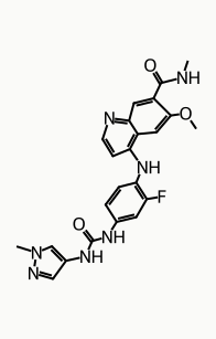 CNC(=O)c1cc2nccc(Nc3ccc(NC(=O)Nc4cnn(C)c4)cc3F)c2cc1OC